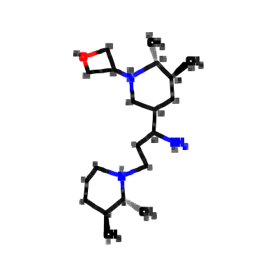 C[C@@H]1[C@@H](C)CCCN1CCC(N)C1C[C@H](C)[C@@H](C)N(C2COC2)C1